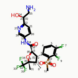 C[C@H]1[C@@H](c2ccc(F)c(F)c2S(C)(=O)=O)[C@H](C(=O)Nc2ccc([C@@H](O)CN)nc2)O[C@@]1(C)C(F)(F)F